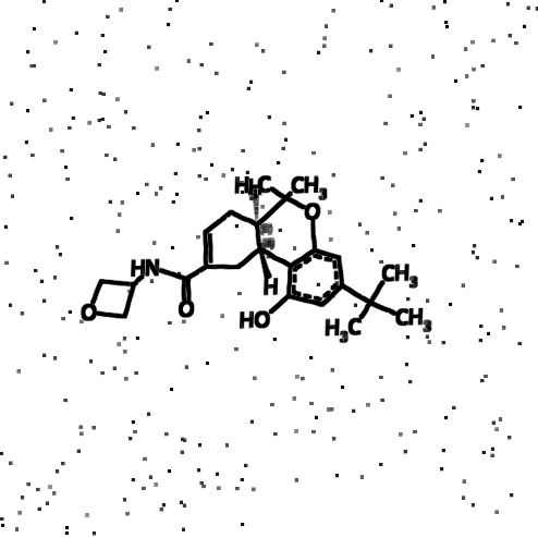 CC(C)(C)c1cc(O)c2c(c1)OC(C)(C)[C@@H]1CC=C(C(=O)NC3COC3)C[C@@H]21